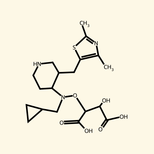 Cc1nc(C)c(CC2CNCCC2N(CC2CC2)OC(C(=O)O)C(O)C(=O)O)s1